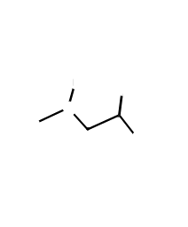 CC(C)C[SiH](F)F